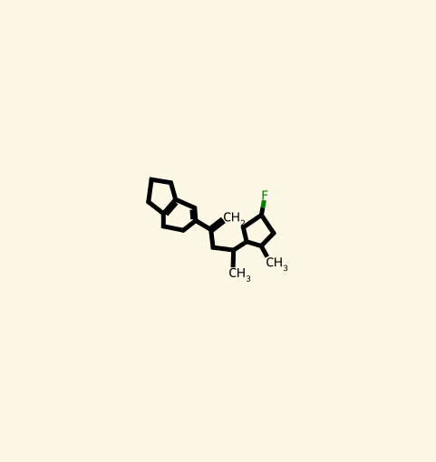 C=C(CC(C)C1CC(F)CC1C)C1=CC2=C(CCC2)CC1